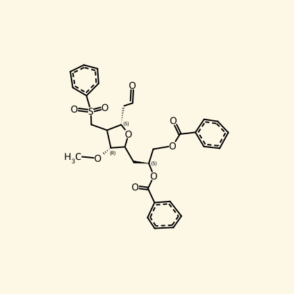 CO[C@H]1C(C[C@@H](COC(=O)c2ccccc2)OC(=O)c2ccccc2)O[C@@H](CC=O)C1CS(=O)(=O)c1ccccc1